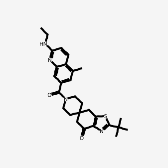 CCNc1ccc2c(C)cc(C(=O)N3CCC4(CC3)CC(=O)c3nc(C(C)(C)C)sc3C4)cc2n1